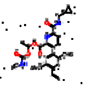 C=Cc1cc(C=O)c(-c2ccc(C(=O)NCC3CC3)nc2C(=O)OC(C)OC(=O)NC(C)C)cc1OC